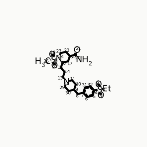 CCS(=O)(=O)c1ccc(CC2CCN(CCCC3CC(C(N)=O)CCN3S(C)(=O)=O)CC2)cc1